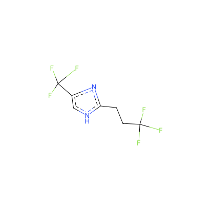 FC(F)(F)CCc1nc(C(F)(F)F)c[nH]1